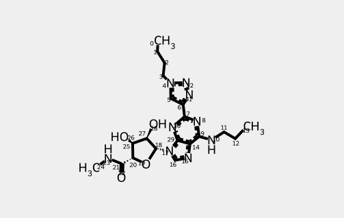 CCCCn1cc(-c2nc(NCCC)c3ncn([C@@H]4O[C@H](C(=O)NC)[C@@H](O)[C@H]4O)c3n2)nn1